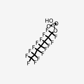 O=S(=O)(O)OC(F)(F)C(F)(F)C(F)(F)C(F)(F)C(F)(F)C(F)(F)C(F)(F)F